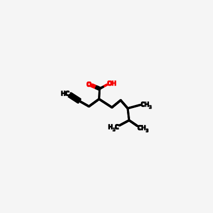 C#CCC(CCC(C)C(C)C)C(=O)O